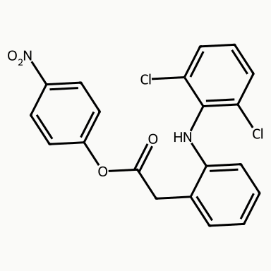 O=C(Cc1ccccc1Nc1c(Cl)cccc1Cl)Oc1ccc([N+](=O)[O-])cc1